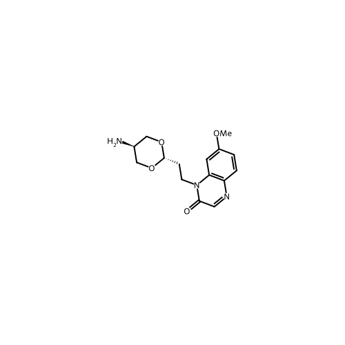 COc1ccc2ncc(=O)n(CC[C@H]3OC[C@H](N)CO3)c2c1